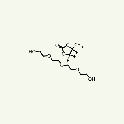 CC1(F)OC(=O)OC1(F)F.OCCOCCOCCOCCO